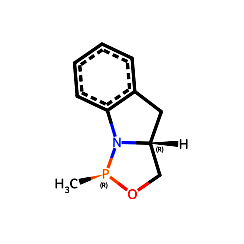 C[P@]1OC[C@H]2Cc3ccccc3N21